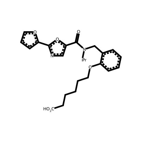 CC(C)N(Cc1ccccc1OCCCCCC(=O)O)C(=O)c1cnc(-c2ccco2)o1